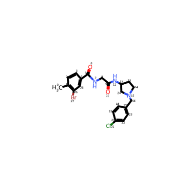 Cc1ccc(C(=O)NCC(=O)NC2CCN(Cc3ccc(Cl)cc3)C2)cc1Br